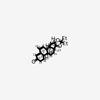 CCC1(CC)O[C@H]2C[C@H]3[C@@H]4C=C(C)C5=CC(=O)CC[C@]5(C)[C@H]4CC[C@]3(C)[C@]2(C(C)=O)O1